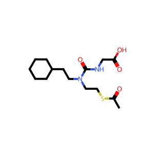 CC(=O)SCCN(CCC1CCCCC1)C(=O)NCC(=O)O